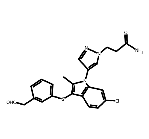 Cc1c(Sc2cccc(C[C]=O)c2)c2ccc(Cl)cc2n1-c1cnn(CCC(N)=O)c1